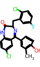 Cc1cc(C2=NC(Cc3cc(F)ccc3Cl)C(=O)Nc3ccc(Cl)cc32)ccc1O